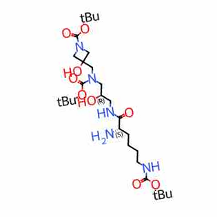 CC(C)(C)OC(=O)NCCCC[C@H](N)C(=O)NC[C@@H](O)CN(CC1(O)CN(C(=O)OC(C)(C)C)C1)C(=O)OC(C)(C)C